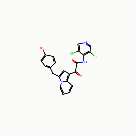 O=C(Nc1c(Cl)cncc1Cl)C(=O)c1cc(Cc2ccc(O)cc2)n2ccccc12